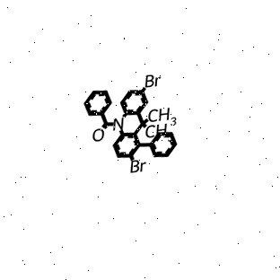 CC1(C)c2cc(Br)ccc2N(C(=O)c2ccccc2)c2ccc(Br)c(-c3ccccc3)c21